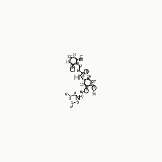 CCCN(CCC)CCOc1cc(NC(=O)C=Cc2c(F)cccc2Cl)ccc1OC